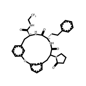 O=C1N[C@@H](CCc2ccccc2)C(=O)N[C@H](C(=O)NCC(F)(F)F)Cc2cccc(c2)Oc2cccc(c2)CC1N1CCCC1=O